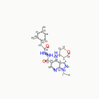 CCn1ncc2c(NC3CCOCC3)c(C(=O)NNC(=O)Cc3ccc(C)cc3C)cnc21